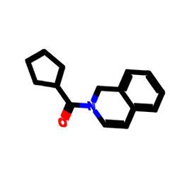 O=C(C1CCCC1)N1C=Cc2ccccc2C1